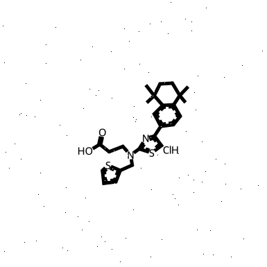 CC1(C)CCC(C)(C)c2cc(-c3csc(N(CCC(=O)O)Cc4cccs4)n3)ccc21.Cl